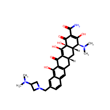 CN(C)C1CN(Cc2ccc3cc4c(c(O)c3c2)C(=O)C2=C(O)[C@]3(O)C(=O)C(C(N)=O)=C(O)[C@@H](N(C)C)[C@@H]3C[C@@H]2C4)C1